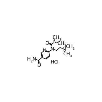 CN(C)CCN(C(=O)N(C)C)c1ccc(C(N)=O)cn1.Cl